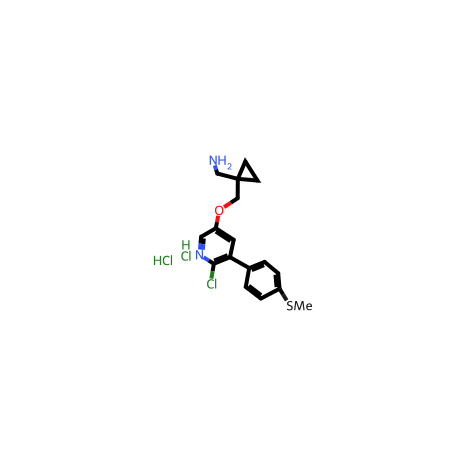 CSc1ccc(-c2cc(OCC3(CN)CC3)cnc2Cl)cc1.Cl.Cl